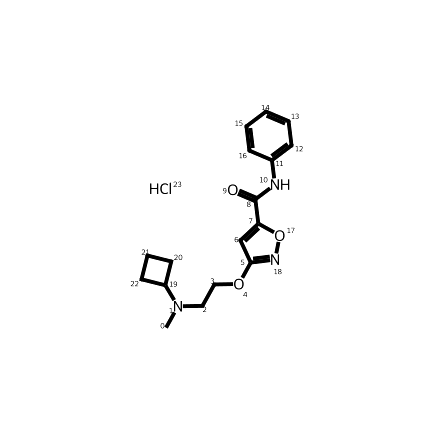 CN(CCOc1cc(C(=O)Nc2ccccc2)on1)C1CCC1.Cl